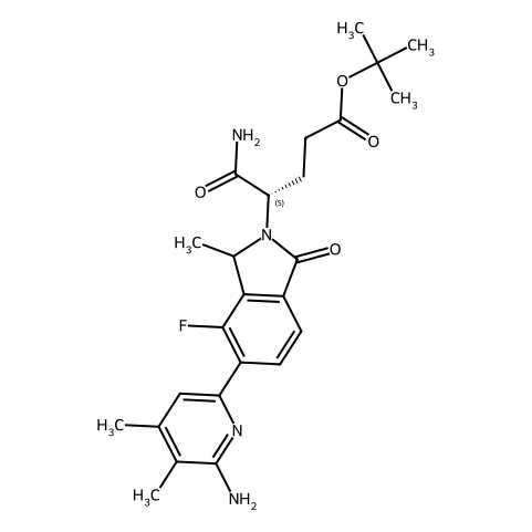 Cc1cc(-c2ccc3c(c2F)C(C)N([C@@H](CCC(=O)OC(C)(C)C)C(N)=O)C3=O)nc(N)c1C